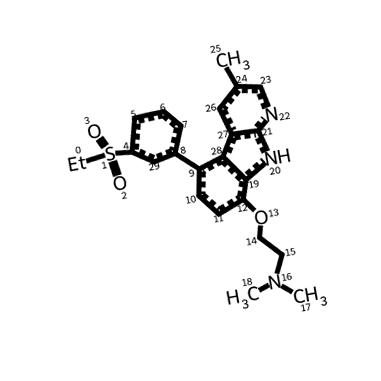 CCS(=O)(=O)c1cccc(-c2ccc(OCCN(C)C)c3[nH]c4ncc(C)cc4c23)c1